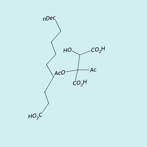 CC(=O)OC(C(C)=O)(C(=O)O)C(O)C(=O)O.CCCCCCCCCCCCCCCCCC(=O)O